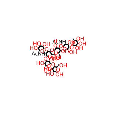 CC(=O)N[C@H]1[C@H](O[C@H]2[C@@H](O)[C@@H](CO)O[C@@H](O[C@H]3[C@H](O[C@@H]4O[C@@H](C)[C@@H](O)[C@@H](O)[C@@H]4O)[C@@H](NC(C)=O)[C@H](O[C@H]4[C@@H](O)[C@@H](CO)O[C@@H](O[C@H]5[C@H](O)[C@@H](O)[C@H](O)O[C@@H]5CO)[C@@H]4O)O[C@@H]3CO)[C@@H]2O)O[C@H](CO)[C@@H](O[C@@H]2O[C@@H](C)[C@@H](O)[C@@H](O)[C@@H]2O)[C@@H]1O